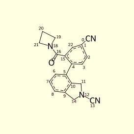 N#Cc1ccc(-c2cccc3c2CN(C#N)C3)c(C(=O)N2CCC2)c1